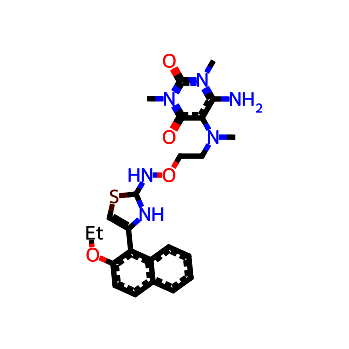 CCOc1ccc2ccccc2c1C1=CSC(NOCCN(C)c2c(N)n(C)c(=O)n(C)c2=O)N1